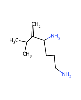 C=C(C(C)C)C(N)CCCN